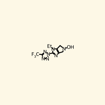 CCn1c(-n2nnc(C(F)(F)F)n2)nc2c1CN(O)C2